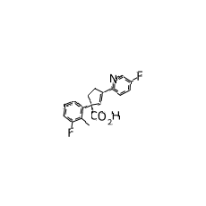 Cc1c(F)cccc1[C@@]1(C(=O)O)C=C(c2ccc(F)cn2)CC1